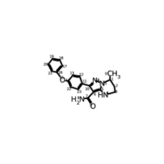 CC1CCNc2c(C(N)=O)c(-c3ccc(Oc4ccccc4)cc3)nn21